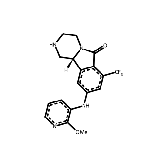 COc1ncccc1Nc1cc2c(c(C(F)(F)F)c1)C(=O)N1CCNC[C@@H]21